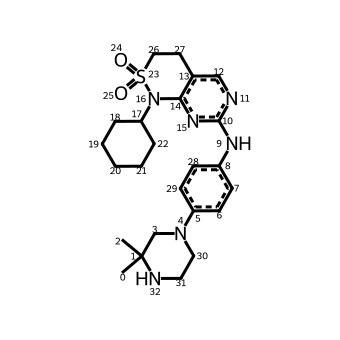 CC1(C)CN(c2ccc(Nc3ncc4c(n3)N(C3CCCCC3)S(=O)(=O)CC4)cc2)CCN1